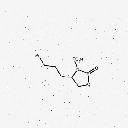 CC(C)CCC[C@H]1COS(=O)N1C(=O)O